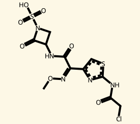 CON=C(C(=O)NC1CN(S(=O)(=O)O)C1=O)c1csc(NC(=O)CCl)n1